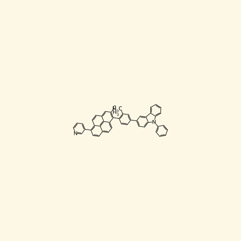 Cc1cc(-c2ccc3c(c2)c2ccccc2n3-c2ccccc2)ccc1-c1c(C)cc2ccc3c(-c4cccnc4)ccc4ccc1c2c43